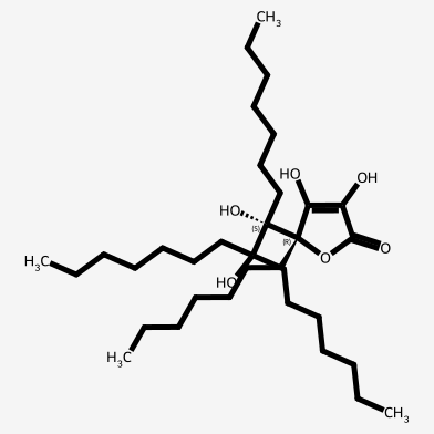 CCCCCCCC(O)(CCCCCCC)[C@@](O)(CCCCCCC)[C@@]1(CCCCCCC)OC(=O)C(O)=C1O